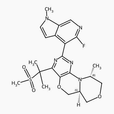 C[C@@H]1COC[C@H]2COc3c(nc(-c4c(F)ncc5c4ccn5C)nc3C(C)(C)S(C)(=O)=O)N21